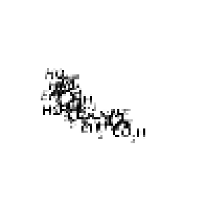 CC[C@H]1[C@@H](O)[C@@H]2[C@H](CC[C@]3(C)[C@@H]([C@H](C)CCNc4cc(C(=O)O)c(F)cn4)CC[C@@H]23)[C@@]2(C)CC[C@@H](O)C[C@@H]12